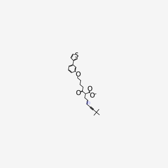 COC(=O)C(C/C=C/C#CC(C)(C)C)C(=O)CCCCOc1cccc(-c2ccsc2)c1